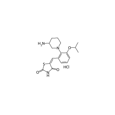 CC(C)Oc1cccc(C=C2SC(=O)NC2=O)c1N1CCCC(N)C1.Cl